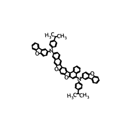 CC(C)c1ccc(N(c2ccc3cc4c(cc3c2)oc2cc3oc5cc(N(c6ccc(C(C)C)cc6)c6ccc7oc8ccccc8c7c6)c6ccccc6c5c3cc24)c2ccc3oc4ccccc4c3c2)cc1